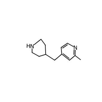 Cc1cc(CC2CCNCC2)ccn1